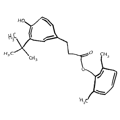 Cc1cccc(C)c1OC(=O)CCc1ccc(O)c(C(C)(C)C)c1